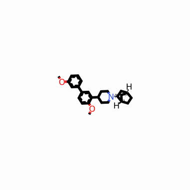 COc1cccc(-c2ccc(OC)c(C3CCN([C@@H]4C[C@H]5CC[C@H]4C5)CC3)c2)c1